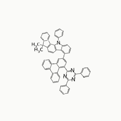 CC1(C)c2ccccc2-c2c1ccc1c3c(-c4cc(-c5nc(-c6ccccc6)nc(-c6ccccc6)n5)c5c6ccccc6c6ccccc6c5c4)cccc3n(-c3ccccc3)c21